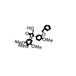 COc1ccc([C@H]2[C@H](CO)C(=O)N2c2cc(OC)c(OC)c(OC)c2)cc1OCc1ccccc1